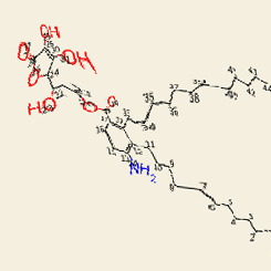 CCCCCCCCCCCCc1c(N)ccc(C(=O)OCC(O)C2OC(=O)C(O)=C2O)c1CCCCCCCCCCCC